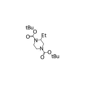 CCC1CN(C(=O)OC(C)(C)C)CCN1C(=O)OC(C)(C)C